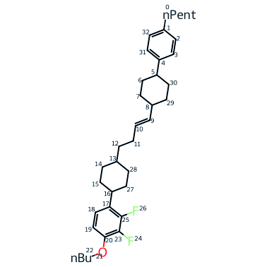 CCCCCc1ccc(C2CCC(/C=C/CCC3CCC(c4ccc(OCCCC)c(F)c4F)CC3)CC2)cc1